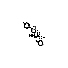 Cc1ccc(C(Cl)=CC(=O)N[C@H](Cc2ccccc2)C(=O)O)cc1